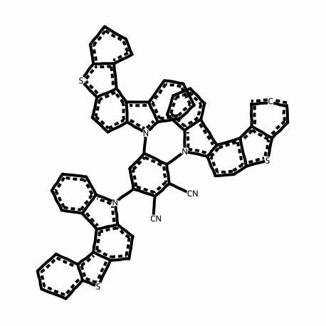 N#Cc1c(-n2c3ccccc3c3c4c(ccc32)sc2ccccc24)cc(-n2c3ccccc3c3c4c(ccc32)sc2ccccc24)c(-n2c3ccccc3c3c4c(ccc32)sc2ccccc24)c1C#N